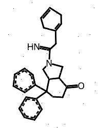 N=C(CC1=CCC=CC1)N1CC2C(=O)CCC(c3ccccc3)(c3ccccc3)C2C1